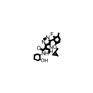 Cc1ccc(OCC2CC2)c(-c2ncnc3c(C(=O)N[C@H]4CCCC[C@@H]4O)c(C)[nH]c23)c1F